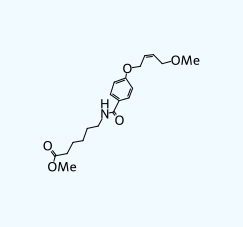 COC/C=C\COc1ccc(C(=O)NCCCCCC(=O)OC)cc1